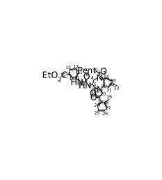 CCCC(C)C(=O)N1CC(NC(=O)Nc2cccc(C(=O)OCC)c2)C(=O)N(CC(=O)c2ccccc2C)c2cc(C)ccc21